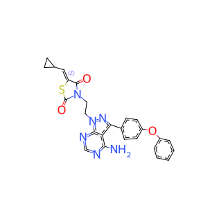 Nc1ncnc2c1c(-c1ccc(Oc3ccccc3)cc1)nn2CCN1C(=O)S/C(=C\C2CC2)C1=O